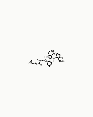 COc1c(F)cccc1Nc1c(-c2ccncc2OCCN(C)C(=O)/C=C/CN(C)C)[nH]c2c1C(=O)NCC2